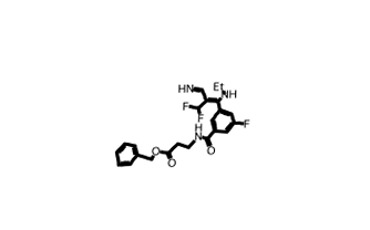 CCN/C(=C(\C=N)C(F)F)c1cc(F)cc(C(=O)NCCC(=O)OCc2ccccc2)c1